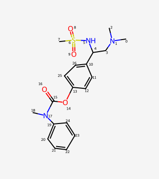 CN(C)CC(NS(C)(=O)=O)c1ccc(OC(=O)N(C)c2ccccc2)cc1